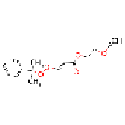 C#COCCOC(=O)C=COOC(C)(C)c1ccccc1